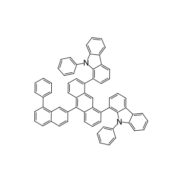 c1ccc(-c2cccc3ccc(-c4c5cccc(-c6cccc7c8ccccc8n(-c8ccccc8)c67)c5cc5c(-c6cccc7c8ccccc8n(-c8ccccc8)c67)cccc45)cc23)cc1